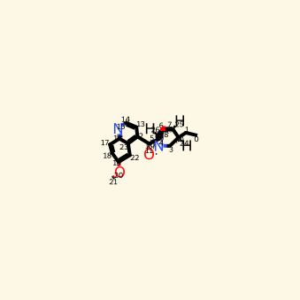 CC[C@H]1CN2CC[C@H]1C[C@H]2[C@H]([O])c1ccnc2ccc(OC)cc12